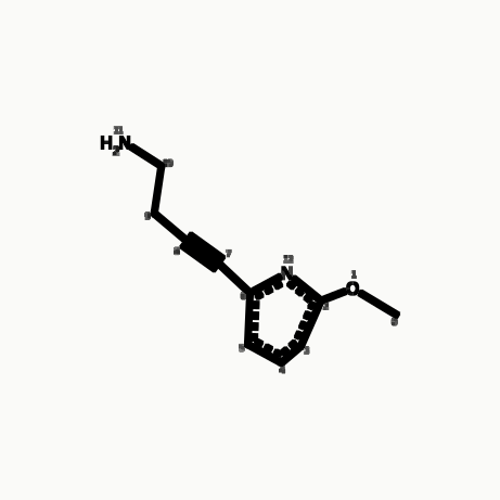 COc1cccc(C#CCCN)n1